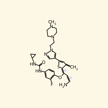 C=c1cc(-c2cnn(CCN3CCN(C)CC3)c2)s/c1=C(/C=C\N)Oc1ccc(NC(=O)NC2CC2)cc1F